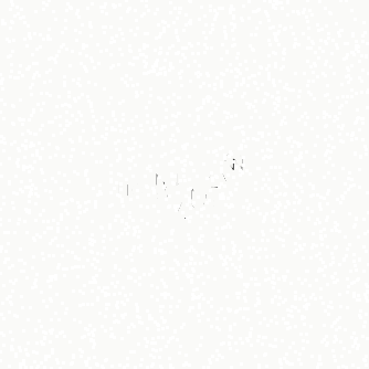 Cc1ccn(-c2ccc(C(=O)N3CCC(C)(C(=O)NC(C)CO)Cc4ccccc43)c(C)c2)n1